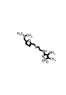 CC1=C(N)C(NCCSCc2ccc(CN(C)C)o2)=NS1(=O)=O